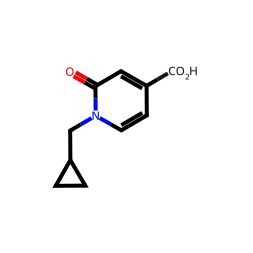 O=C(O)c1ccn(CC2CC2)c(=O)c1